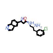 N[C@@H](CNc1cc(-c2ccc3cnccc3c2)no1)Cc1cccc(Cl)c1